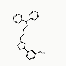 COc1cccc(C2CCN(CCCOC(c3ccccc3)c3ccccc3)C2)c1